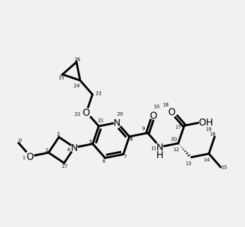 COC1CN(c2ccc(C(=O)N[C@@H](CC(C)C)C(=O)O)nc2OCC2CC2)C1